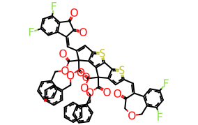 O=C1COCc2c(F)cc(F)cc2/C1=C/c1cc2c(s1)-c1sc3c(c1C2(C(=O)OCc1ccccc1)C(=O)OCc1ccccc1)C(C(=O)OCc1ccccc1)(C(=O)OCc1ccccc1)C(/C=C1\C(=O)C(=O)c2c(F)cc(F)cc21)=C3